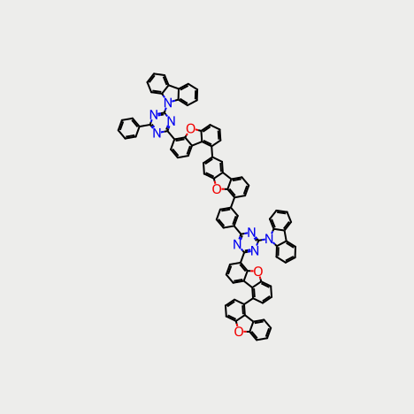 c1ccc(-c2nc(-c3cccc4c3oc3cccc(-c5ccc6oc7c(-c8cccc(-c9nc(-c%10cccc%11c%10oc%10cccc(-c%12cccc%13oc%14ccccc%14c%12%13)c%10%11)nc(-n%10c%11ccccc%11c%11ccccc%11%10)n9)c8)cccc7c6c5)c34)nc(-n3c4ccccc4c4ccccc43)n2)cc1